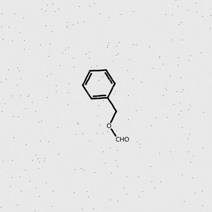 O=COCc1cc[c]cc1